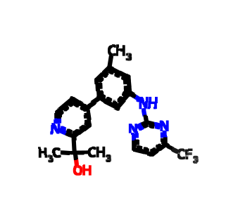 Cc1cc(Nc2nccc(C(F)(F)F)n2)cc(-c2ccnc(C(C)(C)O)c2)c1